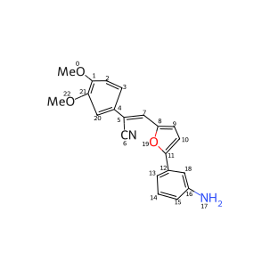 COc1ccc(C(C#N)=Cc2ccc(-c3cccc(N)c3)o2)cc1OC